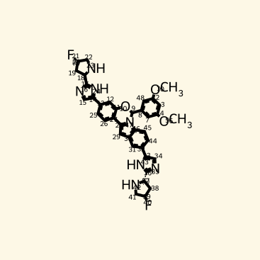 COc1cc(OC)cc(C2Oc3cc(-c4cnc(C5C[C@@H](F)CN5)[nH]4)ccc3-c3cc4cc(-c5cnc([C@@H]6CC(F)CN6)[nH]5)ccc4n32)c1